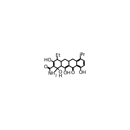 CCC1C(O)=C(C(N)=O)C(C)(O)C2C(O)=C3C(=O)c4c(O)ccc(C(C)C)c4CC3CC12